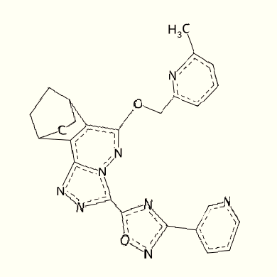 Cc1cccc(COc2nn3c(-c4nc(-c5cccnc5)no4)nnc3c3c2C2CCC3CC2)n1